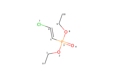 CCOP(=O)(C=CCl)OCC